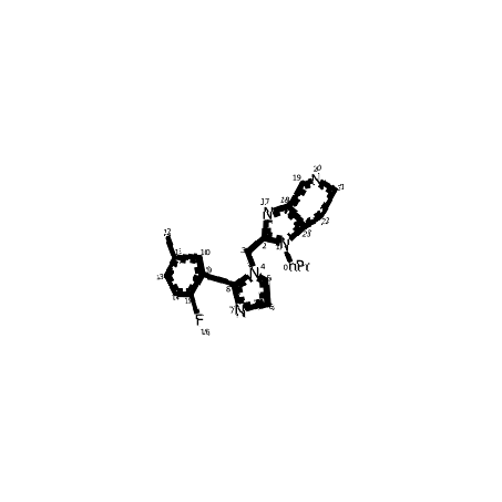 CCCn1c(Cn2ccnc2-c2cc(C)ccc2F)nc2cnccc21